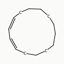 [CH]1C=CC=CCCCCCCCCC1